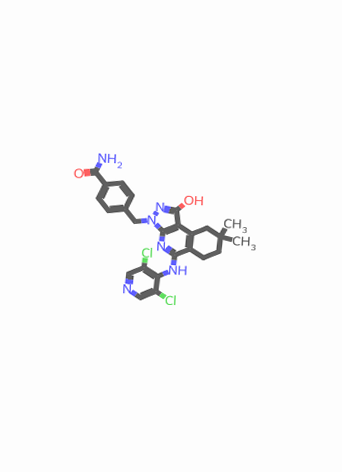 CC1(C)CCc2c(Nc3c(Cl)cncc3Cl)nc3c(c(O)nn3Cc3ccc(C(N)=O)cc3)c2C1